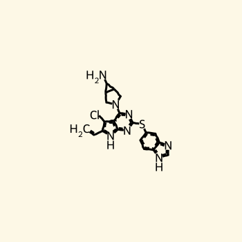 C=Cc1[nH]c2nc(Sc3ccc4[nH]cnc4c3)nc(N3CC4C(N)C4C3)c2c1Cl